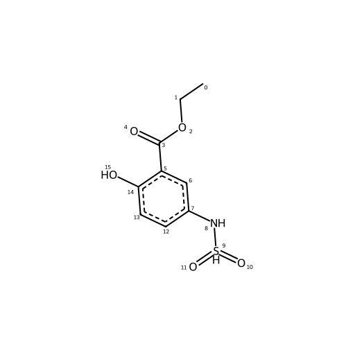 CCOC(=O)c1cc(N[SH](=O)=O)ccc1O